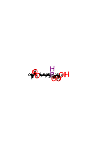 C=C(C)C(=O)OCCCCCCPC(=O)CC(=O)O